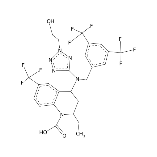 CCC1CC(N(Cc2cc(C(F)(F)F)cc(C(F)(F)F)c2)c2nnn(CCO)n2)c2cc(C(F)(F)F)ccc2N1C(=O)O